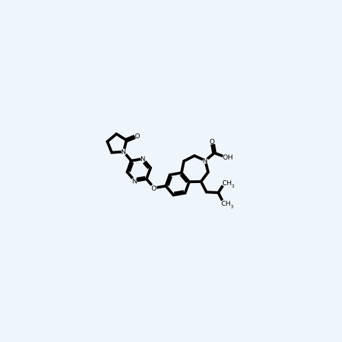 CC(C)CC1CN(C(=O)O)CCc2cc(Oc3cnc(N4CCCC4=O)cn3)ccc21